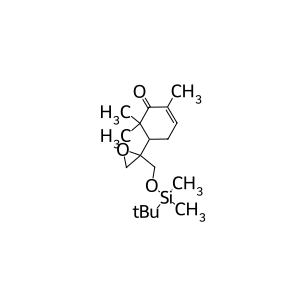 CC1=CCC(C2(CO[Si](C)(C)C(C)(C)C)CO2)C(C)(C)C1=O